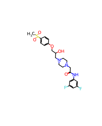 CS(=O)(=O)c1ccc(OCC(O)CN2CCN(CC(=O)Nc3cc(F)cc(F)c3)CC2)cc1